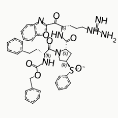 N=C(N)NCCC[C@H](NC(=O)[C@@H]1C[C@@H]([S+]([O-])c2ccccc2)CN1C(=O)[C@@H](CCc1ccccc1)NC(=O)OCc1ccccc1)C(=O)c1nc2ccccc2o1